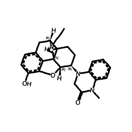 CN1C(=O)CN([C@@H]2CCC3(O)[C@H]4Cc5ccc(O)c6c5[C@@]3(CCN4C)[C@H]2O6)c2ccccc21